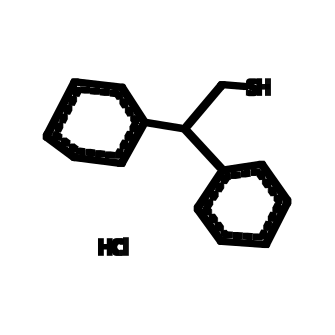 Cl.SCC(c1ccccc1)c1ccccc1